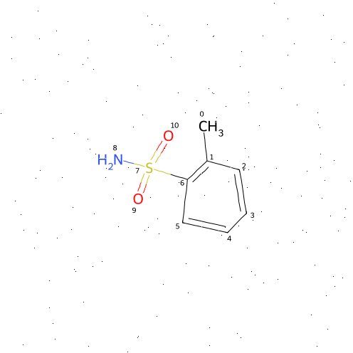 Cc1[c]cccc1S(N)(=O)=O